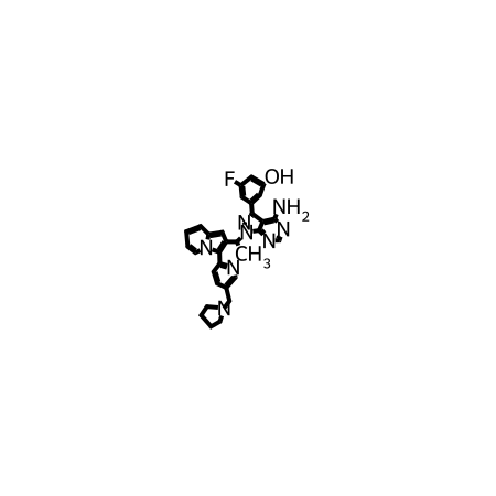 CC(c1cc2ccccn2c1-c1ccc(CN2CCCC2)cn1)n1nc(-c2cc(O)cc(F)c2)c2c(N)ncnc21